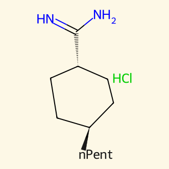 CCCCC[C@H]1CC[C@H](C(=N)N)CC1.Cl